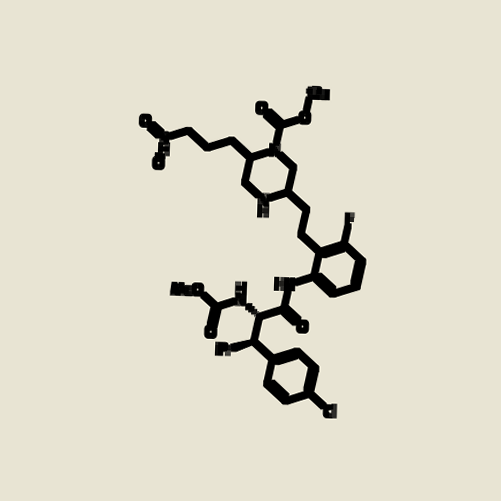 COC(=O)N[C@H](C(=O)Nc1cccc(F)c1CCC1CN(C(=O)OC(C)(C)C)C(CCC[SH](=O)=O)CN1)[C@@H](c1ccc(Cl)cc1)C(C)C